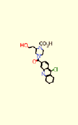 O=C(c1ccc2c(Cl)c3c(nc2c1)CCCC3)N1CCN(C(=O)O)C(CCO)C1